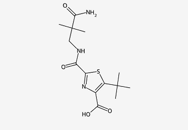 CC(C)(CNC(=O)c1nc(C(=O)O)c(C(C)(C)C)s1)C(N)=O